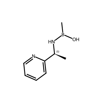 CB(O)N[C@@H](C)c1ccccn1